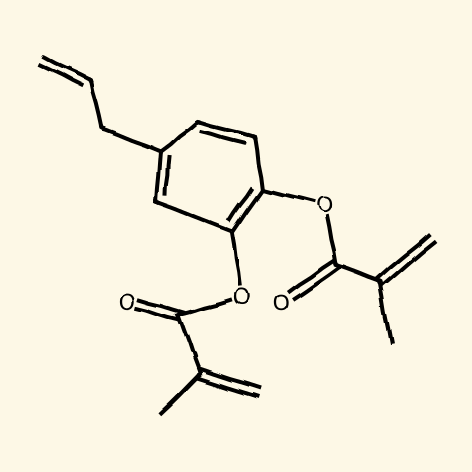 C=CCc1ccc(OC(=O)C(=C)C)c(OC(=O)C(=C)C)c1